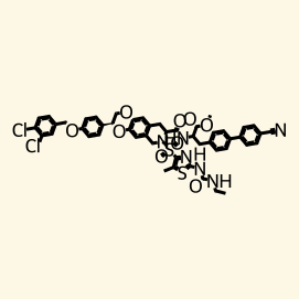 CCNC(=O)Nc1nc(S(=O)(=O)N2Cc3cc4c(cc3CC2C(=O)NC(Cc2ccc(-c3ccc(C#N)cc3)cc2)C(=O)OC)OC[C@H](c2ccc(OCc3ccc(Cl)c(Cl)c3)cc2)O4)c(C)s1